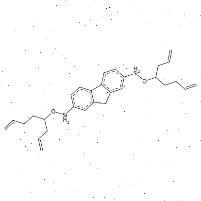 C=CCCC(CC=C)O[SiH2]c1ccc2c(c1)Cc1cc([SiH2]OC(CC=C)CCC=C)ccc1-2